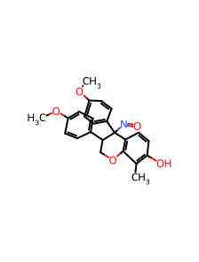 COc1ccc(C2COc3c(ccc(O)c3C)C2(N=O)c2ccc(OC)cc2)cc1